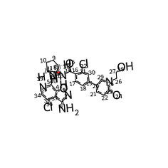 Nc1noc2c(N3C[C@@H]4CC[C@H]3[C@@H]4NC(=O)c3ccc(-c4ccc(=O)n(CCO)c4)cc3Cl)ncc(Cl)c12